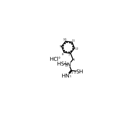 Cl.N=C(S)N(S)Cc1ccccc1